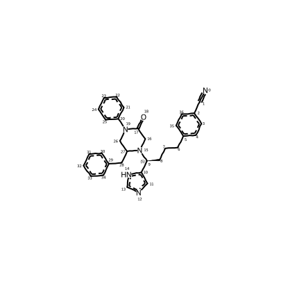 N#Cc1ccc(CCC[C@@H](c2cnc[nH]2)N2CC(=O)N(c3ccccc3)CC2Cc2ccccc2)cc1